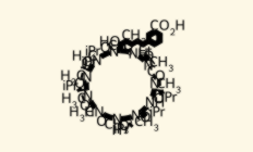 CC[C@@H]1NC(=O)[C@H]([C@H](O)[C@H](C)CCCc2cccc(C(=O)O)c2)N(C)C(=O)[C@H](C(C)C)N(C)C(=O)[C@H](CC(C)C)N(C)C(=O)[C@H](CC(C)C)N(C)C(=O)[C@H](C)NC(=O)[C@@H](C)NC(=O)[C@@H](CC(C)C)N(C)C(=O)[C@@H](C(C)C)NC(=O)[C@H](CC(C)C)N(C)C(=O)CN(C)C1=O